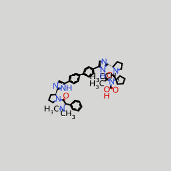 CN(C)[C@@H](C(=O)N1CCC[C@H]1c1ncc(-c2ccc(-c3ccc(-c4cnc([C@@H]5CCCN5C(=O)C5(N(C(=O)O)C(C)(C)C)CCCC5)[nH]4)cc3)cc2)[nH]1)c1ccccc1